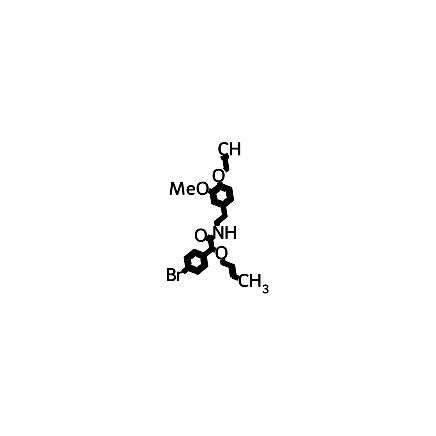 C#CCOc1ccc(CCNC(=O)C(OCC=CC)c2ccc(Br)cc2)cc1OC